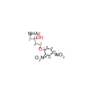 CC(=O)NCC(O)CCOc1ccc([N+](=O)[O-])cc1[N+](=O)[O-]